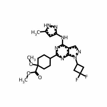 COC(=O)C1(OC)CCC(c2nc(Nc3cc(C)[nH]n3)c3cnn(C4CC(F)(F)C4)c3n2)CC1